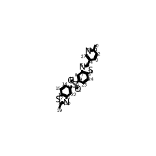 Cc1ccc(-c2nc3cc(S(=O)(=O)c4ccc5sc(C)nc5c4)ccc3s2)cn1